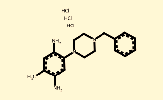 Cc1cc(N)c(N2CCN(Cc3ccccc3)CC2)cc1N.Cl.Cl.Cl